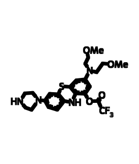 COCCN(CCOC)c1cc(OC(=O)C(F)(F)F)c2c(c1)Sc1cc(N3CCNCC3)ccc1N2